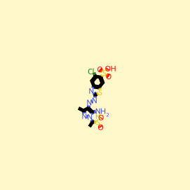 Cc1nn(C(C)[SH](=O)=O)c(N)c1N=Nc1nc2cc(Cl)c(S(=O)(=O)O)cc2s1